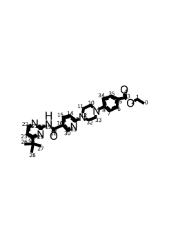 CCOC(=O)c1ccc(N2CCN(c3ccc(C(=O)Nc4nccc(C(C)(C)C)n4)cn3)CC2)cc1